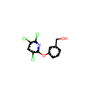 OCc1cccc(Oc2nc(Cl)c(Cl)cc2Cl)c1